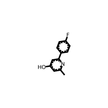 Cc1cc(O)cc(-c2ccc(F)cc2)n1